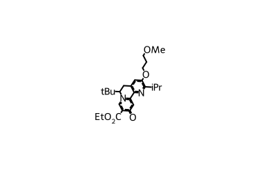 CCOC(=O)c1cn2c(cc1=O)-c1nc(C(C)C)c(OCCCOC)cc1CC2C(C)(C)C